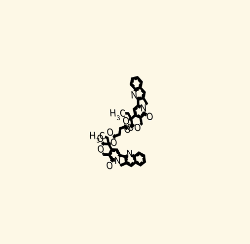 CCC1(OC(=O)CCC(=O)OC2(CC)C(=O)OCc3c2cc2n(c3=O)Cc3cc4ccccc4nc3-2)C(=O)OCc2c1cc1n(c2=O)Cc2cc3ccccc3nc2-1